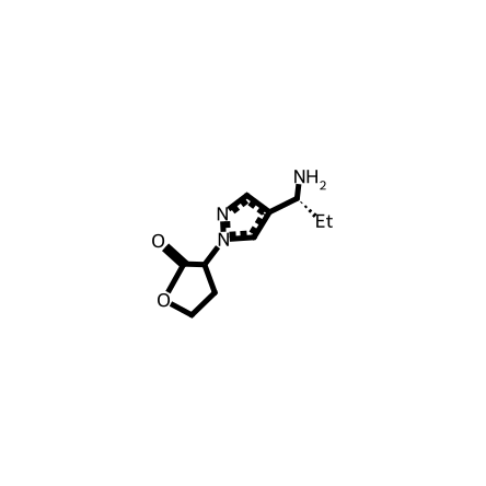 CC[C@@H](N)c1cnn(C2CCOC2=O)c1